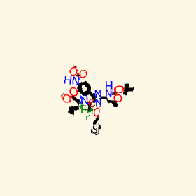 C=CC[C@H](NC(=O)OC(C)(C)C)c1nc(-c2ccc(NC(=O)OC)cc2N(C(=O)C(F)(F)F)[C@H](CC=C)C(=O)OC)cn1COCC[Si](C)(C)C